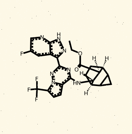 CCOC(=O)[C@@H]1[C@@H](Nc2nc(-c3n[nH]c4ncc(F)cc34)nn3c(C(F)(F)F)ccc23)[C@@H]2CC[C@H]1C1CC12